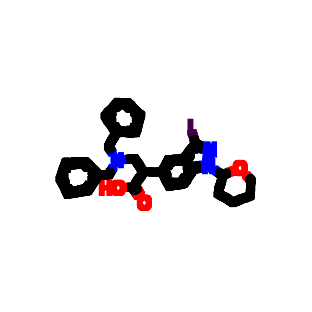 O=C(O)C(CN(Cc1ccccc1)Cc1ccccc1)c1ccc2c(c1)c(I)nn2C1CCCCO1